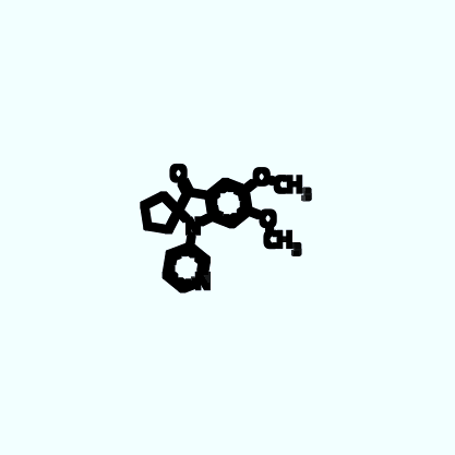 COc1cc2c(cc1OC)N(c1cccnc1)C1(CCCC1)C2=O